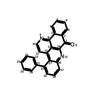 O=C1c2ccccc2-c2nccc3c2c1nc1cccc(-c2ccccc2)c13